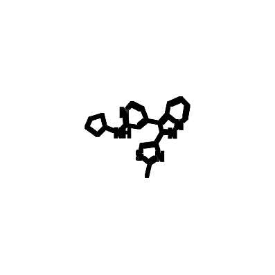 Cc1nc(-c2nn3ccccc3c2-c2ccnc(NC3CCCC3)c2)cs1